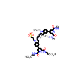 CCCCCN1/C(=C/C=C/C2=[N+](CCCS(=O)(=O)[O-])c3ccc(-c4cc(C(=O)NCCS(=O)(=O)O)nc(C(=O)NCCS(=O)(=O)O)c4)cc3C2)C(C)(C)c2cc(-c3cc(C(=O)NCC)nc(C(=O)NCC)c3)ccc21